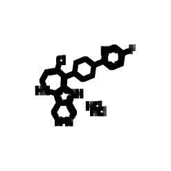 Cl.Cl.Fc1ccc(C2CCC(C3=c4[nH]c5c(c4NCC=C3Cl)CN=NC=5)CC2)nc1